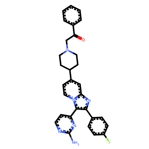 Nc1nccc(-c2c(-c3ccc(F)cc3)nc3cc(C4CCN(CC(=O)c5ccccc5)CC4)ccn23)n1